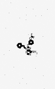 Nc1ncnc2c1nc(Sc1cccc(OC(F)F)c1)n2CCc1ccccc1